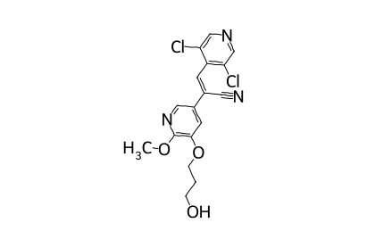 COc1ncc(/C(C#N)=C/c2c(Cl)cncc2Cl)cc1OCCCO